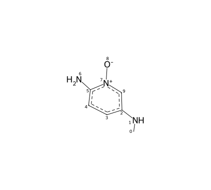 CNc1ccc(N)[n+]([O-])c1